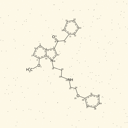 COc1cccc2c(C(=O)Cc3ccccc3)cn(CCCNCCOc3ccccc3)c12